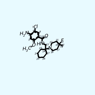 COc1cc(N)c(Cl)cc1C(=O)NCC1(N2CCC(F)(F)CC2)CCCCC1